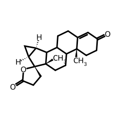 C[C@]12CCC(=O)C=C1CCC1C2CC[C@@]2(C)C1[C@@H]1C[C@@H]1[C@]21CCC(=O)O1